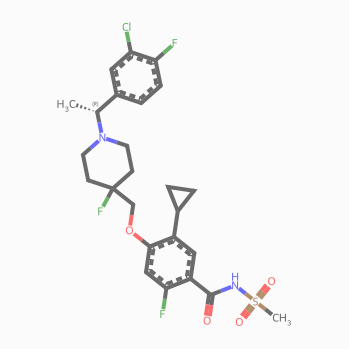 C[C@H](c1ccc(F)c(Cl)c1)N1CCC(F)(COc2cc(F)c(C(=O)NS(C)(=O)=O)cc2C2CC2)CC1